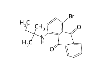 CCC(C)(C)Nc1ccc(Br)c2c1C(=O)c1ccccc1C2=O